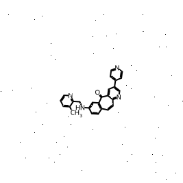 Cc1cccnc1CNc1ccc2ccc3ncc(-c4ccncc4)cc3c(=O)c2c1